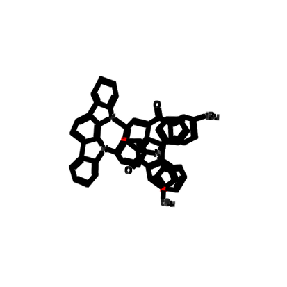 CC(C)(C)c1ccc2c(c1)c(=O)c1cc(-n3c4ccccc4c4ccc5c6ccccc6n(-c6ccc(N(c7ccccc7)c7ccccc7)cc6)c5c43)cc3c(=O)c4cc(C(C)(C)C)ccc4n2c13